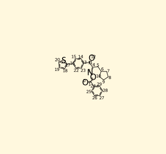 O=C(ON=C(CC1CCCC1)C(=O)c1ccc(-c2cccs2)cc1)c1ccccc1